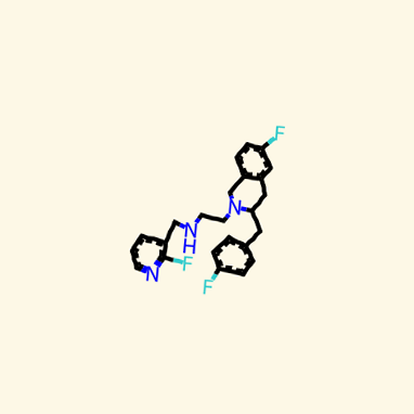 Fc1ccc(CC2Cc3cc(F)ccc3CN2CCNCc2cccnc2F)cc1